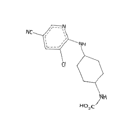 N#Cc1cnc(NC2CCC(NC(=O)O)CC2)c(Cl)c1